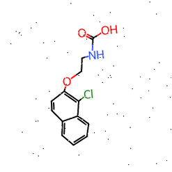 O=C(O)NCCOc1ccc2ccccc2c1Cl